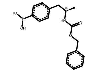 C[C@H](Cc1ccc(B(O)O)cc1)NC(=O)OCc1ccccc1